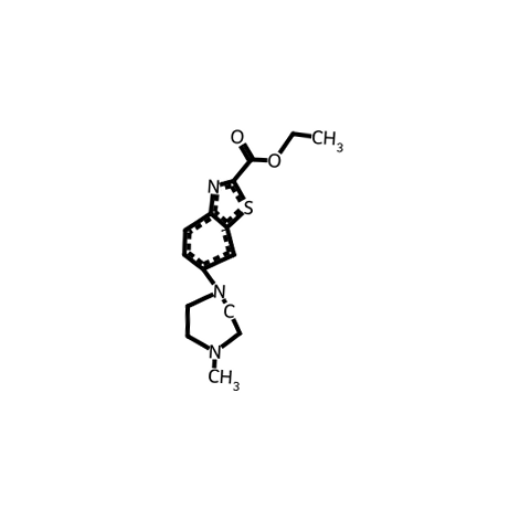 CCOC(=O)c1nc2ccc(N3CCN(C)CC3)cc2s1